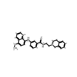 COc1ccc(Nc2cccc(C(=O)NCCN3CCc4ccccc4C3)c2)c2ncccc12